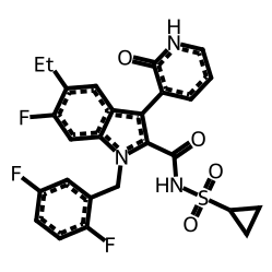 CCc1cc2c(-c3ccc[nH]c3=O)c(C(=O)NS(=O)(=O)C3CC3)n(Cc3cc(F)ccc3F)c2cc1F